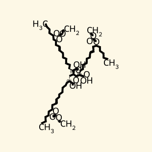 C=COC(=O)OC(CC=CCCCCCC[C@H](CC(C[C@@H](CCCCCCC=CCC(CCCCCC)OC(=O)OC=C)C(=O)O)[C@@H](CCCCCCC=CCC(CCCCCC)OC(=O)OC=C)C(=O)O)C(=O)O)CCCCCC